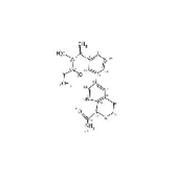 CC[S+]([O-])N(C)[C@@H](C)c1cncc(-c2cnc3c(c2)CCCN3C(N)=O)c1